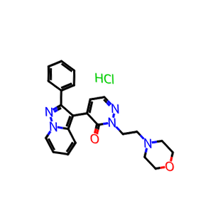 Cl.O=c1c(-c2c(-c3ccccc3)nn3ccccc23)ccnn1CCN1CCOCC1